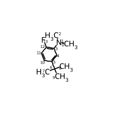 CN(C)c1cc(C(C)(C)C)ccc1F